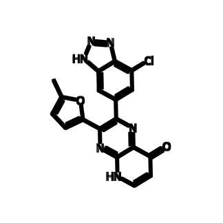 Cc1ccc(-c2nc3[nH]ccc(=O)c3nc2-c2cc(Cl)c3nn[nH]c3c2)o1